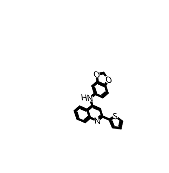 c1csc(-c2cc(Nc3ccc4c(c3)OCO4)c3ccccc3n2)c1